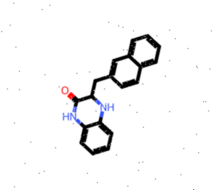 O=C1Nc2ccccc2NC1Cc1ccc2ccccc2c1